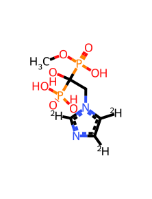 [2H]c1nc([2H])n(CC(O)(P(=O)(O)O)P(=O)(O)OC)c1[2H]